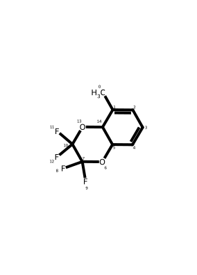 CC1=CC=CC2OC(F)(F)C(F)(F)OC12